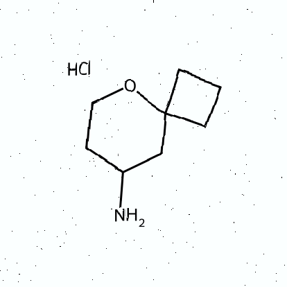 Cl.NC1CCOC2(CCC2)C1